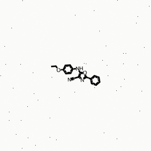 CCOc1ccc(Nc2oc(-c3ccccc3)nc2C#N)cc1